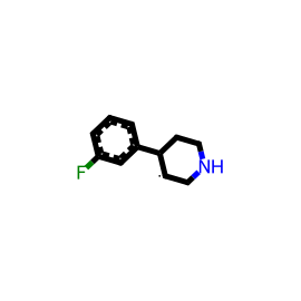 Fc1cccc(C2[CH]CNCC2)c1